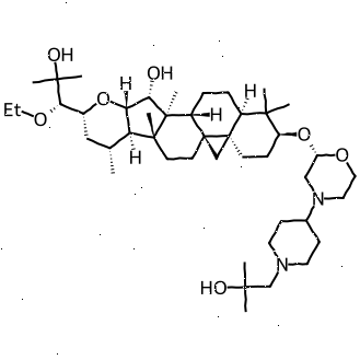 CCO[C@@H]([C@H]1C[C@@H](C)[C@H]2[C@H](O1)[C@H](O)[C@@]1(C)[C@@H]3CC[C@H]4C(C)(C)[C@@H](O[C@H]5CN(C6CCN(CC(C)(C)O)CC6)CCO5)CC[C@@]45C[C@@]35CC[C@]21C)C(C)(C)O